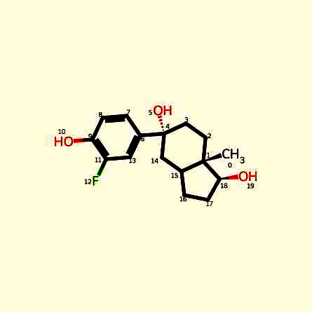 C[C@]12CC[C@](O)(c3ccc(O)c(F)c3)CC1CC[C@@H]2O